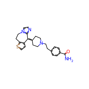 NC(=O)c1ccc(CCN2CCC(=C3c4ccsc4CCn4ccnc43)CC2)cc1